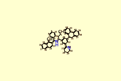 CCCC(NC(c1ccccc1)c1ccc2ccccc2c1C)c1cc(C2=CCCC=N2)cc([C@@H]2Cc3ccccc3-c3ccccc32)c1